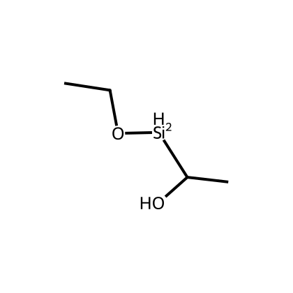 CCO[SiH2]C(C)O